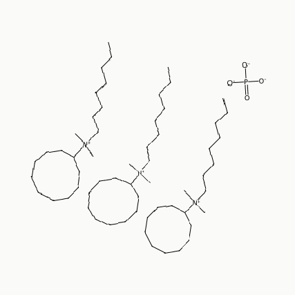 CCCCCCCC[N+](C)(C)C1CCCCCCCCC1.CCCCCCCC[N+](C)(C)C1CCCCCCCCC1.CCCCCCCC[N+](C)(C)C1CCCCCCCCC1.O=P([O-])([O-])[O-]